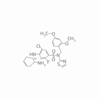 COc1ccc(CN(c2nccs2)S(=O)(=O)c2cc(Cl)c(N[C@H]3CC=CCC3N)cc2F)c(OC)c1